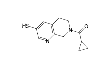 O=C(C1CC1)N1CCc2cc(S)cnc2C1